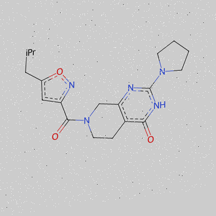 CC(C)Cc1cc(C(=O)N2CCc3c(nc(N4CCCC4)[nH]c3=O)C2)no1